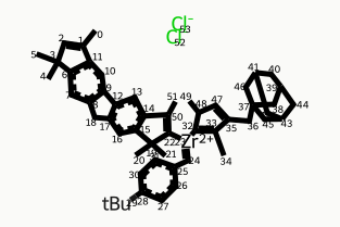 CC1=CC(C)(C)c2cc3c(cc21)-c1cc2c(cc1C3)C(C)(C)[C]([Zr+2](=[CH]c1ccc(C(C)(C)C)cc1)[C]1=C(C)C(CC34CC5CC(CC(C5)C3)C4)=CC1C)=C2C.[Cl-].[Cl-]